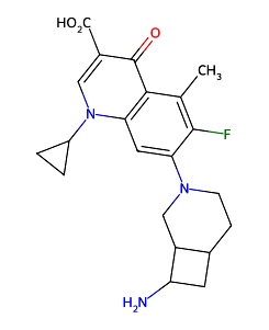 Cc1c(F)c(N2CCC3CC(N)C3C2)cc2c1c(=O)c(C(=O)O)cn2C1CC1